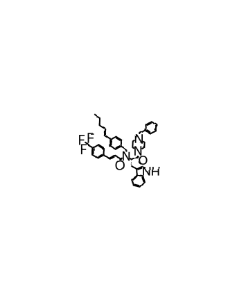 CCCCCc1ccc(CN(C(=O)/C=C/c2ccc(C(F)(F)F)cc2)[C@@H](Cc2c[nH]c3ccccc23)C(=O)N2CCN(Cc3ccccc3)CC2)cc1